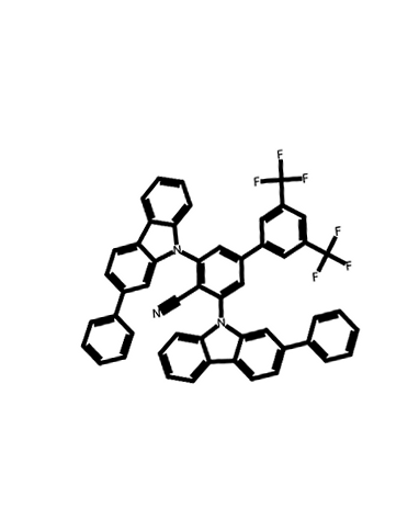 N#Cc1c(-n2c3ccccc3c3ccc(-c4ccccc4)cc32)cc(-c2cc(C(F)(F)F)cc(C(F)(F)F)c2)cc1-n1c2ccccc2c2ccc(-c3ccccc3)cc21